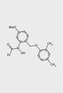 CCC(=O)N(O)c1cc(OC)ccc1COc1ccc(C)cc1C